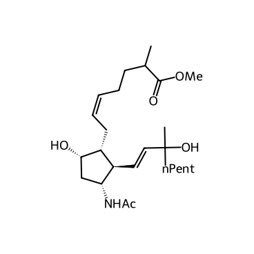 CCCCCC(C)(O)/C=C/[C@@H]1[C@@H](C/C=C\CCC(C)C(=O)OC)[C@@H](O)C[C@H]1NC(C)=O